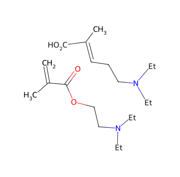 C=C(C)C(=O)OCCN(CC)CC.CCN(CC)CCC=C(C)C(=O)O